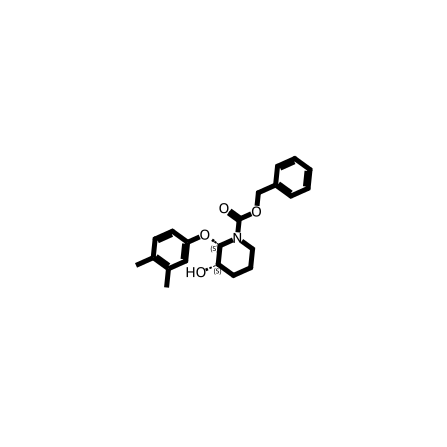 Cc1ccc(O[C@H]2[C@@H](O)CCCN2C(=O)OCc2ccccc2)cc1C